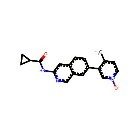 Cc1cc[n+]([O-])cc1-c1ccc2cc(NC(=O)C3CC3)ncc2c1